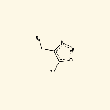 CC(C)c1ocnc1CCl